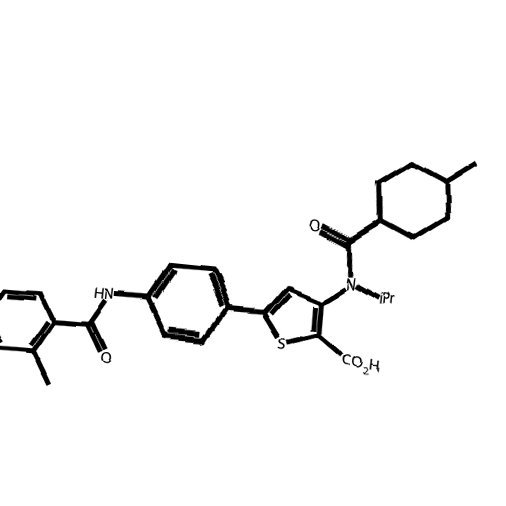 Cc1cnccc1C(=O)Nc1ccc(-c2cc(N(C(=O)C3CCC(C)CC3)C(C)C)c(C(=O)O)s2)cc1